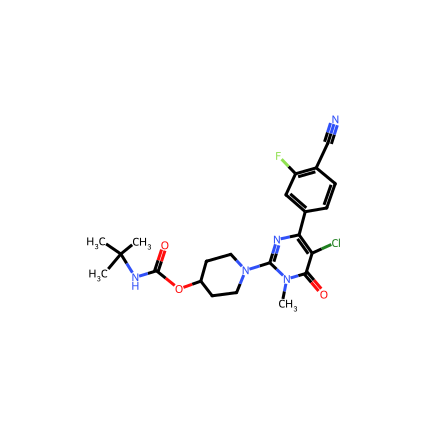 Cn1c(N2CCC(OC(=O)NC(C)(C)C)CC2)nc(-c2ccc(C#N)c(F)c2)c(Cl)c1=O